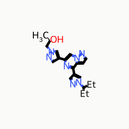 CCC(CC)n1cc(-c2nc(-c3cnn(C[C@H](C)O)c3)cn3nccc23)cn1